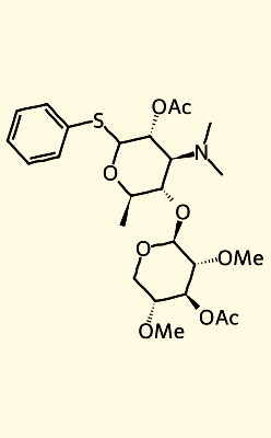 CO[C@H]1[C@H](O[C@H]2[C@H](N(C)C)[C@@H](OC(C)=O)C(Sc3ccccc3)O[C@@H]2C)OC[C@@H](OC)[C@@H]1OC(C)=O